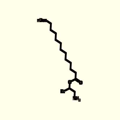 CCCCCCCCCCCCCCCCCCCCCC(=O)OC(CC)CN